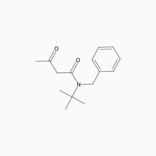 CC(=O)CC(=O)N(Cc1ccccc1)C(C)(C)C